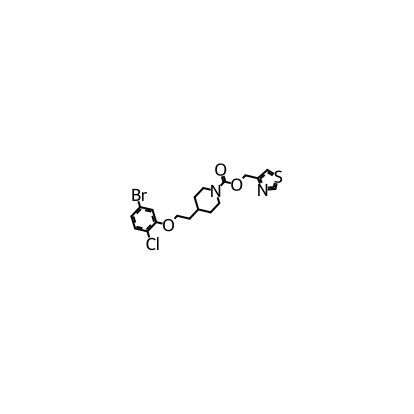 O=C(OCc1cscn1)N1CCC(CCOc2cc(Br)ccc2Cl)CC1